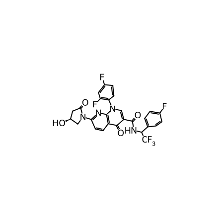 O=C(NC(c1ccc(F)cc1)C(F)(F)F)c1cn(-c2ccc(F)cc2F)c2nc(N3C[C@@H](O)CC3=O)ccc2c1=O